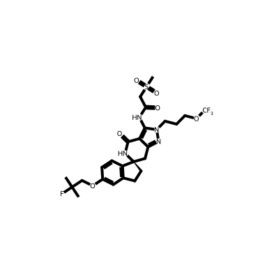 CC(C)(F)COc1ccc2c(c1)CC[C@@]21Cc2nn(CCCOC(F)(F)F)c(NC(=O)CS(C)(=O)=O)c2C(=O)N1